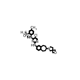 Cc1ccc(Nc2nc(Nc3ccc4c(c3)CCC(N3CCC5(COC5)C3)CC4)ncc2Cl)c(P(C)(C)=O)c1